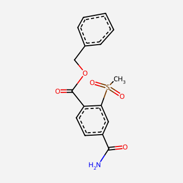 CS(=O)(=O)c1cc(C(N)=O)ccc1C(=O)OCc1ccccc1